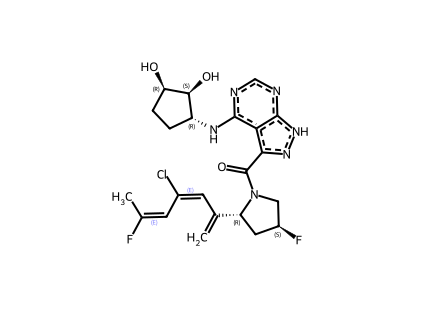 C=C(/C=C(Cl)\C=C(/C)F)[C@H]1C[C@H](F)CN1C(=O)c1n[nH]c2ncnc(N[C@@H]3CC[C@@H](O)[C@H]3O)c12